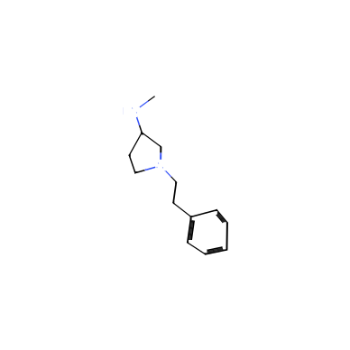 CNC1CCN(CCc2ccccc2)C1